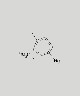 CC(=O)O.Cc1cc[c]([Hg])cc1